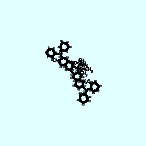 Cc1ccccc1N(c1ccccc1)c1ccc2cc3c(cc2c1)C([Si](C)(C)C)([Si](C)(C)C)c1cc2cc(N(c4ccccc4)c4ccccc4C)ccc2cc1-3